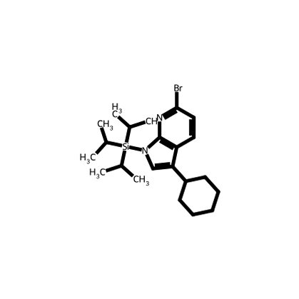 CC(C)[Si](C(C)C)(C(C)C)n1cc(C2CCCCC2)c2ccc(Br)nc21